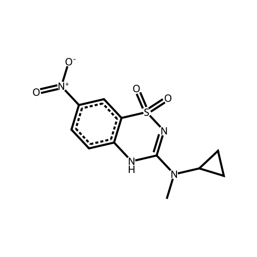 CN(C1=NS(=O)(=O)c2cc([N+](=O)[O-])ccc2N1)C1CC1